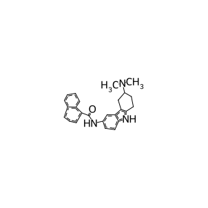 CN(C)C1CCc2[nH]c3ccc(NC(=O)c4cccc5ccccc45)cc3c2C1